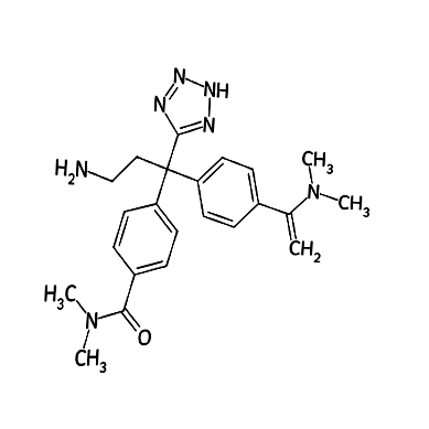 C=C(c1ccc(C(CCN)(c2ccc(C(=O)N(C)C)cc2)c2nn[nH]n2)cc1)N(C)C